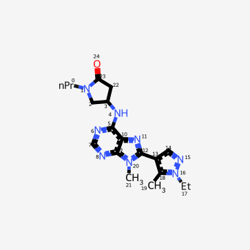 CCCN1CC(Nc2ncnc3c2nc(-c2cnn(CC)c2C)n3C)CC1=O